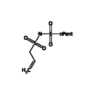 C=CCS(=O)(=O)[N]S(=O)(=O)CCCCC